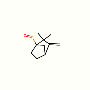 C=C1C2CCC(P=O)(C2)C1(C)C